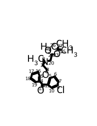 CN(CCOc1ccc(Cl)cc1C(=O)c1ccccc1)CC(=O)OC(C)(C)C